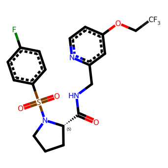 O=C(NCc1cc(OCC(F)(F)F)ccn1)[C@@H]1CCCN1S(=O)(=O)c1ccc(F)cc1